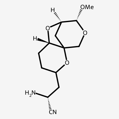 CO[C@@H]1OCC23C[C@H]1O[C@H]2CCC(C[C@@H](N)C#N)O3